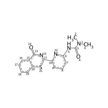 CN(C)C(=O)Nc1cccc(-c2nc(=O)c3ccccc3s2)n1